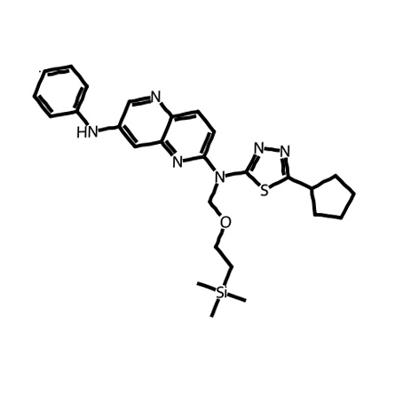 C[Si](C)(C)CCOCN(c1ccc2ncc(Nc3cc[c]cc3)cc2n1)c1nnc(C2CCCC2)s1